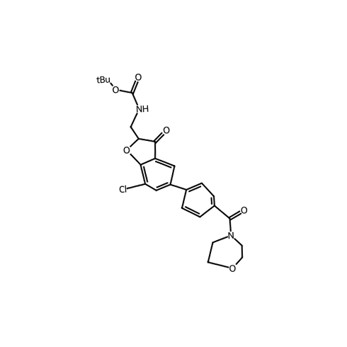 CC(C)(C)OC(=O)NCC1Oc2c(Cl)cc(-c3ccc(C(=O)N4CCOCC4)cc3)cc2C1=O